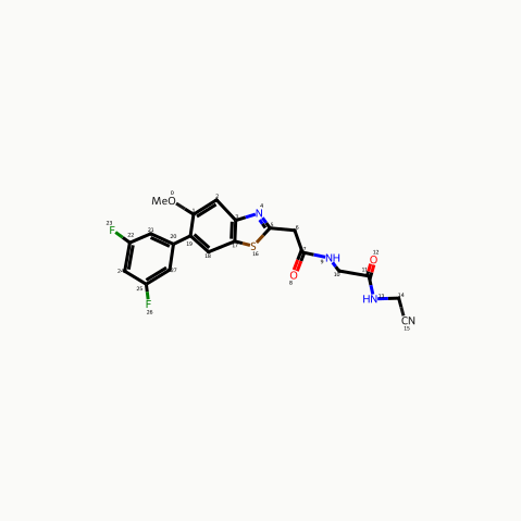 COc1cc2nc(CC(=O)NCC(=O)NCC#N)sc2cc1-c1cc(F)cc(F)c1